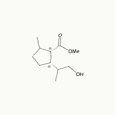 COC(=O)[C@H]1C(C)CC[C@H]1C(C)CO